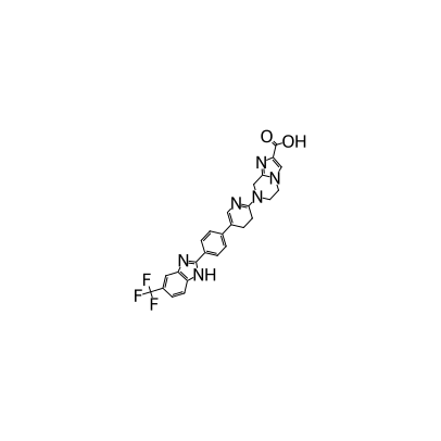 O=C(O)c1cn2c(n1)CN(C1=NC=C(c3ccc(-c4nc5cc(C(F)(F)F)ccc5[nH]4)cc3)CC1)CC2